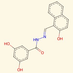 O=C(NN=Cc1c(O)ccc2ccccc12)c1cc(O)cc(O)c1